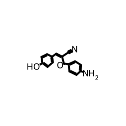 N#CC(=Cc1ccc(O)cc1)C(=O)c1ccc(N)cc1